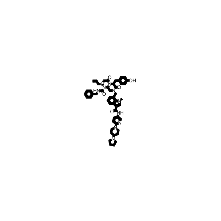 C=CCN1CC(=O)N2C(Cc3ccc(O)cc3)C(=O)N(Cc3cccc4c(C(=O)Nc5ccc(N6CCC(N7CCCC7)CC6)nc5)cn(C)c34)CC2N1C(=O)NCc1ccccc1